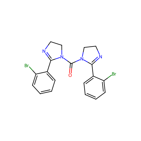 O=C(N1CCN=C1c1ccccc1Br)N1CCN=C1c1ccccc1Br